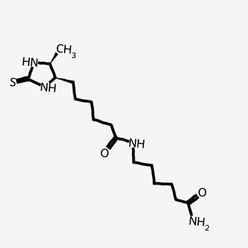 C[C@@H]1NC(=S)N[C@@H]1CCCCCC(=O)NCCCCCC(N)=O